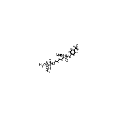 CC(C)(C)NC(=O)OCCCCC(N=[N+]=[N-])C(=O)NCc1ccc(C(F)(F)F)cc1